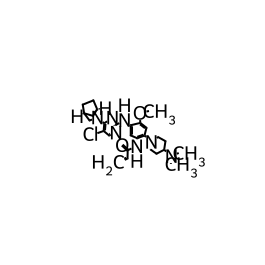 C=CC(=O)Nc1cc(Nc2ncc(Cl)c(N3C[C@H]4CC[C@@H]3C4)n2)c(OC)cc1N1CCC(N(C)C)CC1